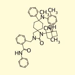 CCC(C)(N1C(=O)N(Cc2ccccc2C(=O)Nc2ccccc2)CC12CCC(c1ccccc1)(N(C)c1ccccc1C)CC2)C1(O)CCC1